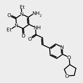 CCn1c(N)c(NC(=O)/C=C/c2ccc(OC3CCOC3)nc2)c(=O)n(CC)c1=O